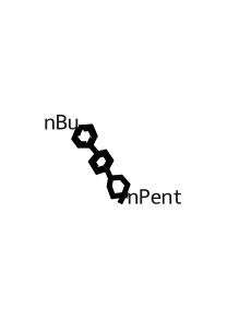 CCCCCC1(C)CCC(c2ccc(-c3ccc(CCCC)cc3)cc2)CC1